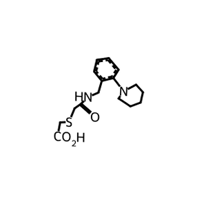 O=C(O)CSCC(=O)NCc1ccccc1N1CCCCC1